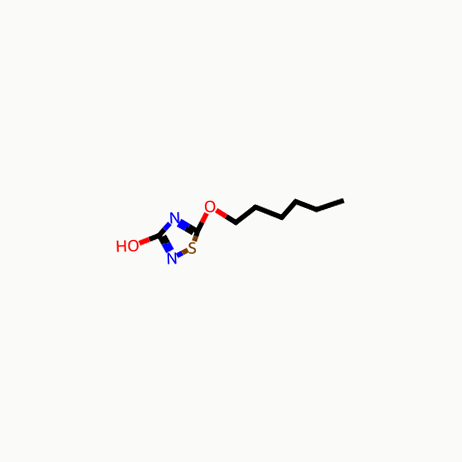 CCCCCCOc1nc(O)ns1